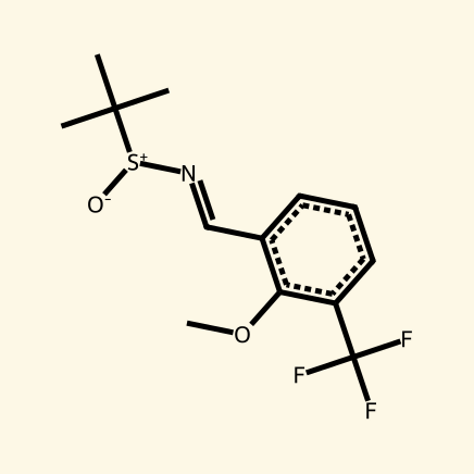 COc1c(C=N[S+]([O-])C(C)(C)C)cccc1C(F)(F)F